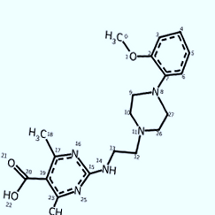 COc1ccccc1N1CCN(CCNc2nc(C)c(C(=O)O)c(C)n2)CC1